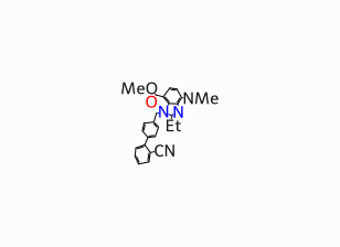 CCc1nc2c(NC)ccc(C(=O)OC)c2n1Cc1ccc(-c2ccccc2C#N)cc1